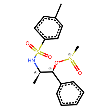 Cc1ccc(S(=O)(=O)N[C@H](C)[C@@H](O[S@@](C)=O)c2ccccc2)cc1